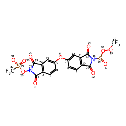 O=C1c2ccc(Oc3ccc4c(c3)C(=O)N(S(=O)OOC(F)(F)F)C4=O)cc2C(=O)N1OS(=O)(=O)C(F)(F)F